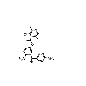 Cc1ncc(Cl)c(C(C)Oc2ccc(N)c(C(=N)c3ccc(N)nc3)c2)c1Cl